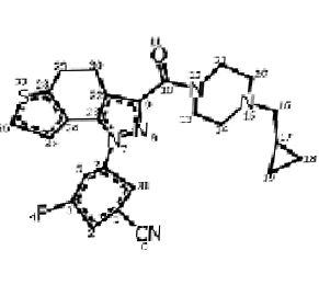 N#Cc1cc(F)cc(-n2nc(C(=O)N3CCN(CC4CC4)CC3)c3c2-c2ccsc2CC3)c1